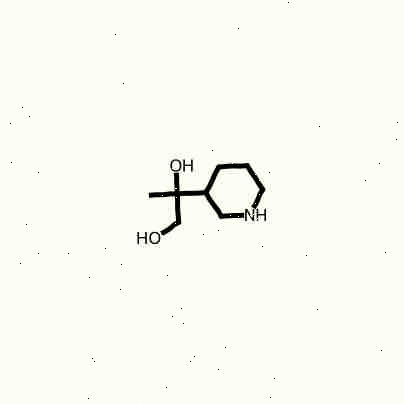 CC(O)(CO)C1CCCNC1